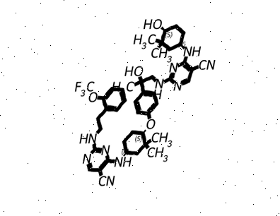 CC(O)(CNc1ncc(C#N)c(N[C@@H]2CC[C@H](O)C(C)(C)C2)n1)c1ccc(O[C@H]2CC[C@@H](Nc3nc(NCCc4ccccc4OC(F)(F)F)ncc3C#N)CC2(C)C)cc1